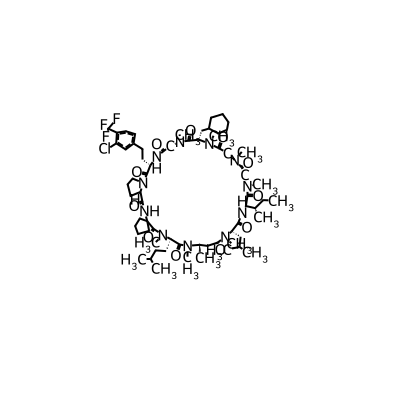 CC[C@H](C)[C@@H]1NC(=O)[C@H](CC(C)C)N(C)C(=O)C[C@@H](C)N(C)C(=O)[C@H](CCC(C)C)N(C)C(=O)C2(CCCC2)NC(=O)[C@@H]2CCCN2C(=O)[C@H](CCc2ccc(C(F)(F)F)c(Cl)c2)NC(=O)CN(C)C(=O)[C@H](CC2CCCCC2)N(C)C(=O)CN(C)C(=O)CN(C)C1=O